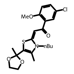 CCCCN1C(=CC(=O)c2cc(Cl)ccc2OC)SC(C2(C)OCCO2)=C1C